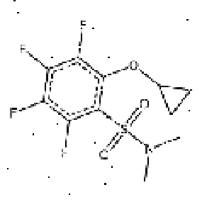 CN(C)S(=O)(=O)c1c(F)c(F)c(F)c(F)c1OC1CC1